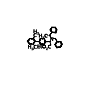 CCOC(=O)C[C@@H](c1ccc(-c2c(C)cccc2C)cc1)N(Cc1ccccc1)[C@H](C)c1ccccc1